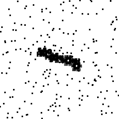 O=C1SC(=S)N/C1=C/c1cc2sc(/N=N/c3ccc(Nc4ccccc4)cc3)cc2s1